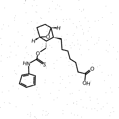 O=C(O)CCCCCC[C@H]1[C@H](COC(=S)Nc2ccccc2)[C@@H]2CC[C@H]1O2